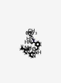 CS(=O)(=O)CCN/C=C(\C=N)c1cccc(CC(=O)Nc2cc(N3CC[C@@](N)(C4CC4)C3=O)ccn2)c1